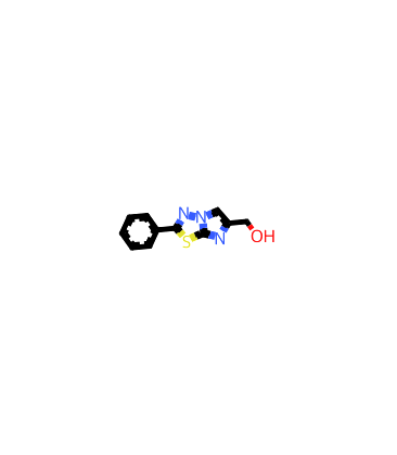 OCc1cn2nc(-c3ccccc3)sc2n1